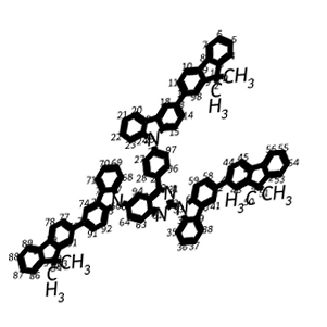 CC1(C)c2ccccc2-c2ccc(-c3ccc4c(c3)c3ccccc3n4-c3ccc(-c4nc(-n5c6ccccc6c6cc(-c7ccc8c(c7)C(C)(C)c7ccccc7-8)ccc65)nc5ccc(-n6c7ccccc7c7cc(-c8ccc9c(c8)C(C)(C)c8ccccc8-9)ccc76)cc45)cc3)cc21